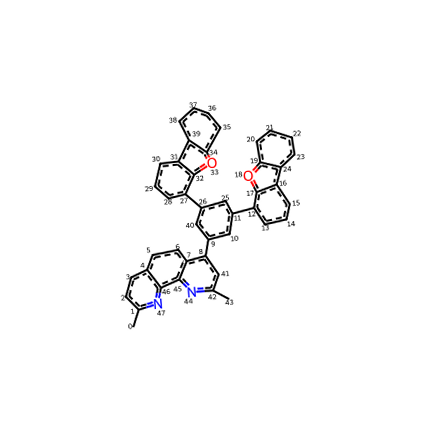 Cc1ccc2ccc3c(-c4cc(-c5cccc6c5oc5ccccc56)cc(-c5cccc6c5oc5ccccc56)c4)cc(C)nc3c2n1